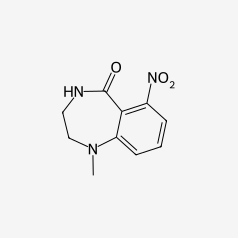 CN1CCNC(=O)c2c1cccc2[N+](=O)[O-]